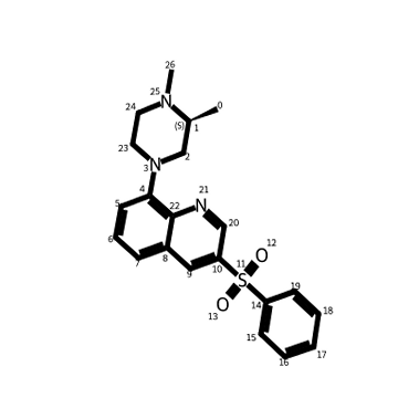 C[C@H]1CN(c2cccc3cc(S(=O)(=O)c4ccccc4)cnc23)CCN1C